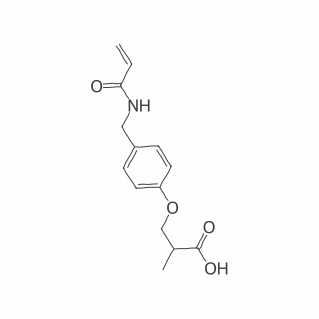 C=CC(=O)NCc1ccc(OCC(C)C(=O)O)cc1